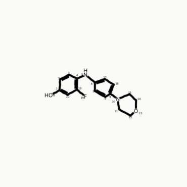 Oc1ccc(Nc2ccc(N3CCOCC3)cc2)c(F)c1